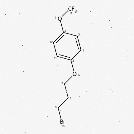 FC(F)(F)Oc1ccc(OCCCBr)cc1